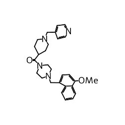 COc1ccc(CN2CCN(C(=O)C3CCN(Cc4ccncc4)CC3)CC2)c2ccccc12